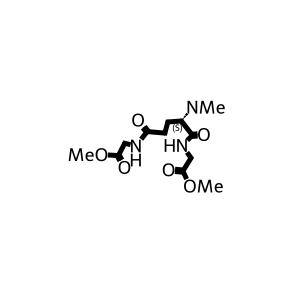 CN[C@@H](CCC(=O)NCC(=O)OC)C(=O)NCC(=O)OC